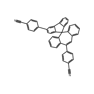 N#Cc1ccc(C2=Cc3ccccc3C3(c4ccccc42)c2ccccc2-c2cc(-c4ccc(C#N)cc4)ccc23)cc1